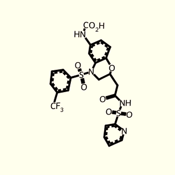 O=C(O)Nc1ccc2c(c1)N(S(=O)(=O)c1cccc(C(F)(F)F)c1)CC(CC(=O)NS(=O)(=O)c1ccccn1)O2